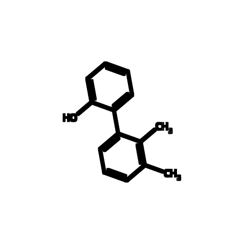 Cc1cccc(-c2ccccc2O)c1C